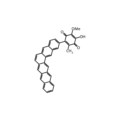 COC1=C(O)C(=O)C(C)=C(c2ccc3cc4ccc5cc6cc7ccccc7cc6cc5c4cc3c2)C1=O